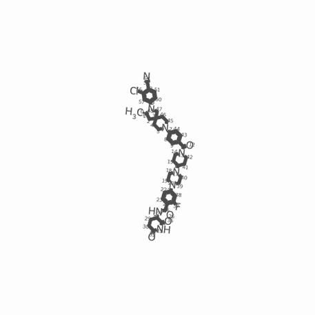 C[C@@H]1CC2(CCN(c3ccc(C(=O)N4CCC(N5CCN(c6ccc(C(=O)N[C@@H]7CCC(=O)NC7=O)c(F)c6)CC5)CC4)cc3)CC2)CN1c1ccc(C#N)c(Cl)c1